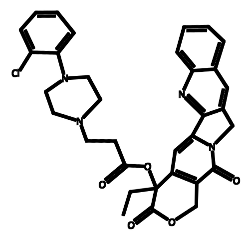 CCC1(OC(=O)CCN2CCN(c3ccccc3Cl)CC2)C(=O)OCc2c1cc1n(c2=O)Cc2cc3ccccc3nc2-1